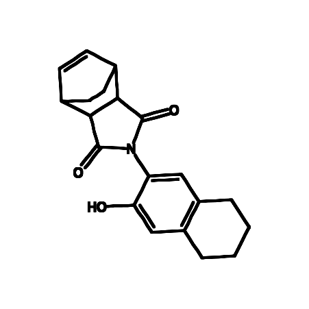 O=C1C2C3C=CC(CC3)C2C(=O)N1c1cc2c(cc1O)CCCC2